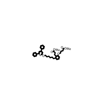 COC(=O)CCCOc1cccc(CCCCCCOc2cc(-c3ccccc3)cc(-c3ccccc3)n2)c1CCC(=O)OC